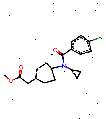 COC(=O)CC1CCC(N(C(=O)c2ccc(F)cc2)C2CC2)CC1